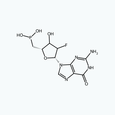 Nc1nc2c(ncn2[C@@H]2O[C@H](CP(O)O)C(O)C2F)c(=O)[nH]1